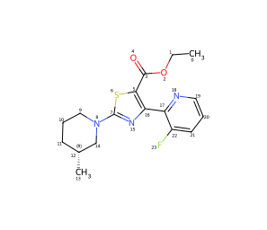 CCOC(=O)c1sc(N2CCC[C@@H](C)C2)nc1-c1ncccc1F